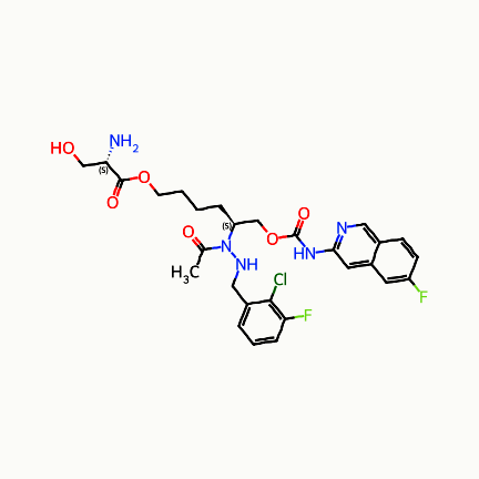 CC(=O)N(NCc1cccc(F)c1Cl)[C@@H](CCCCOC(=O)[C@@H](N)CO)COC(=O)Nc1cc2cc(F)ccc2cn1